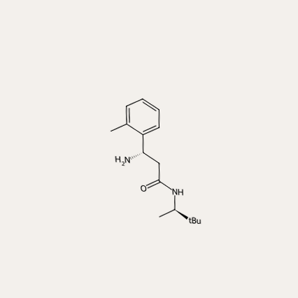 Cc1ccccc1[C@@H](N)CC(=O)N[C@H](C)C(C)(C)C